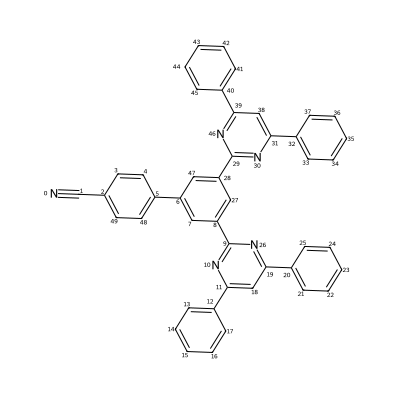 N#Cc1ccc(-c2cc(-c3nc(-c4ccccc4)cc(-c4ccccc4)n3)cc(-c3nc(-c4ccccc4)cc(-c4ccccc4)n3)c2)cc1